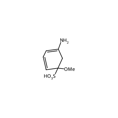 COC1(S(=O)(=O)O)C=CC=C(N)C1